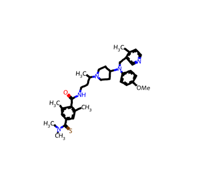 COc1ccc(N(Cc2cnccc2C)C2CCN(C(C)CCNC(=O)c3c(C)cc(C(=S)N(C)C)cc3C)CC2)cc1